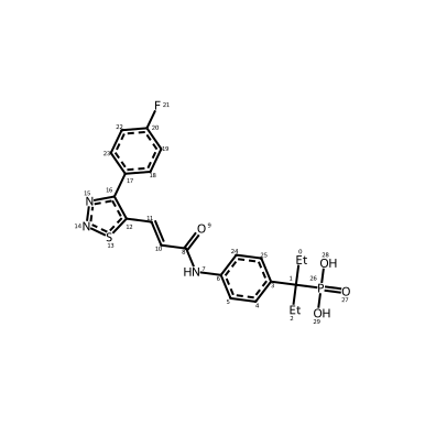 CCC(CC)(c1ccc(NC(=O)C=Cc2snnc2-c2ccc(F)cc2)cc1)P(=O)(O)O